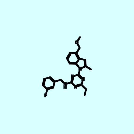 CCc1nc(NCc2cccc(F)c2)nc(-n2c(C)cc3c(COC)cccc32)n1